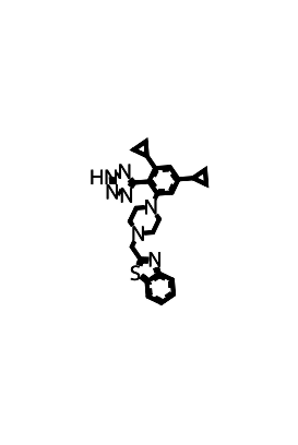 c1ccc2sc(CN3CCN(c4cc(C5CC5)cc(C5CC5)c4-c4nn[nH]n4)CC3)nc2c1